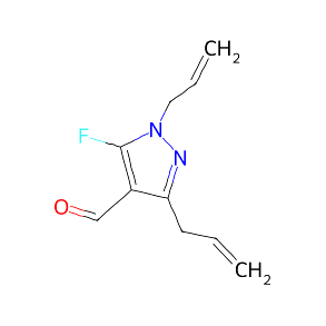 C=CCc1nn(CC=C)c(F)c1C=O